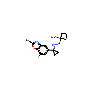 COC1(CNC2(c3cc(F)c4oc(C(C)C)nc4c3)CC2)CCC1